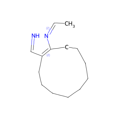 C/C=N\C1=C(/C=N)CCCCCCCCC1